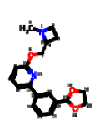 CN1CC[C@H]1COc1cccc(-c2cccc(C3OCCO3)c2)n1